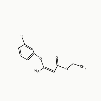 CCOC(=O)/C=C(/C)Oc1cccc(Cl)c1